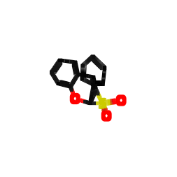 O=S1(=O)C2=Cc3ccccc3OC21c1ccccc1